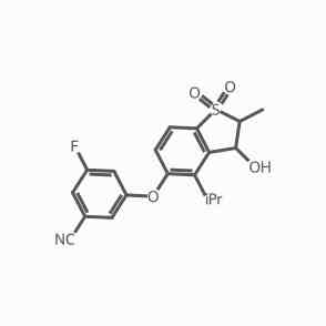 CC(C)c1c(Oc2cc(F)cc(C#N)c2)ccc2c1C(O)C(C)S2(=O)=O